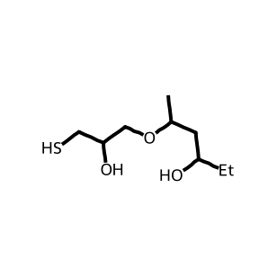 CCC(O)CC(C)OCC(O)CS